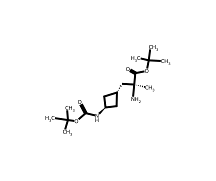 CC(C)(C)OC(=O)N[C@H]1C[C@H](C[C@](C)(N)C(=O)OC(C)(C)C)C1